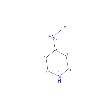 INC1CCNCC1